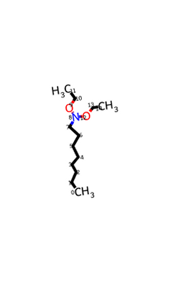 CCCCCCCCN(OCC)OCC